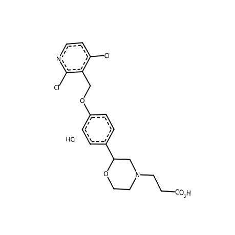 Cl.O=C(O)CCN1CCOC(c2ccc(OCc3c(Cl)ccnc3Cl)cc2)C1